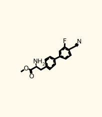 COC(=O)[C@@H](N)Cc1ccc(-c2ccc(C#N)c(F)c2)cc1